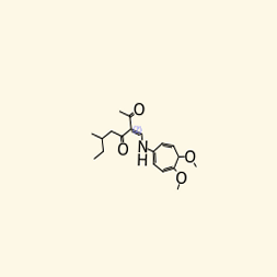 CCC(C)CC(=O)/C(=C\NC1=CC=C(OC)C(OC)C=C1)C(C)=O